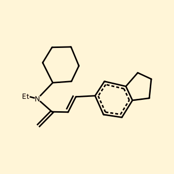 C=C(/C=C/c1ccc2c(c1)CCC2)N(CC)C1CCCCC1